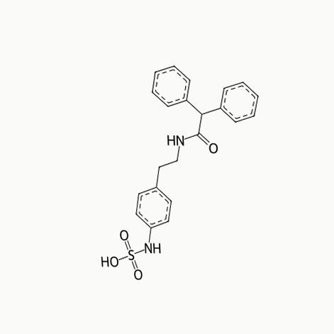 O=C(NCCc1ccc(NS(=O)(=O)O)cc1)C(c1ccccc1)c1ccccc1